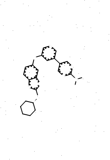 CN(C)c1ncc(-c2cncc(Oc3ccc4nc(N[C@@H]5CCCC[C@H]5O)sc4c3)c2)cn1